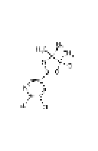 CCc1ncc(B2OC(C)(C)C(C)(C)O2)cc1Cl